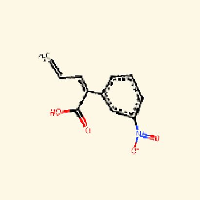 C=CC=C(C(=O)O)c1cccc([N+](=O)[O-])c1